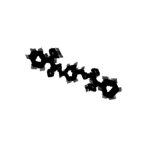 O=C(OCC1CCC(COC(=O)C(O)c2ccccc2)CC1)C(O)c1ccccc1